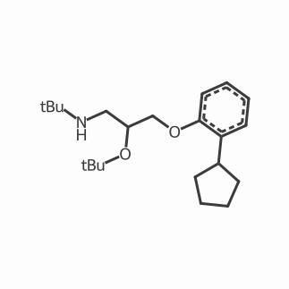 CC(C)(C)NCC(COc1ccccc1C1CCCC1)OC(C)(C)C